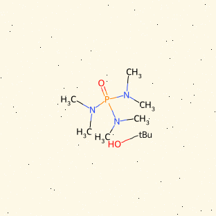 CC(C)(C)O.CN(C)P(=O)(N(C)C)N(C)C